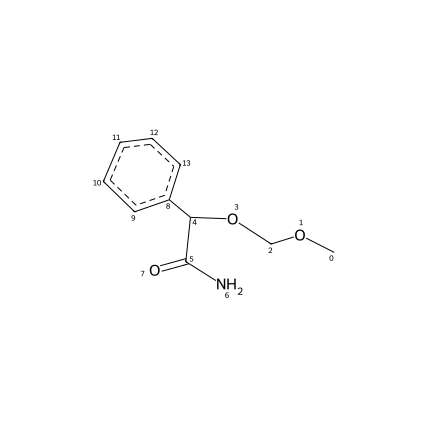 COCOC(C(N)=O)c1ccccc1